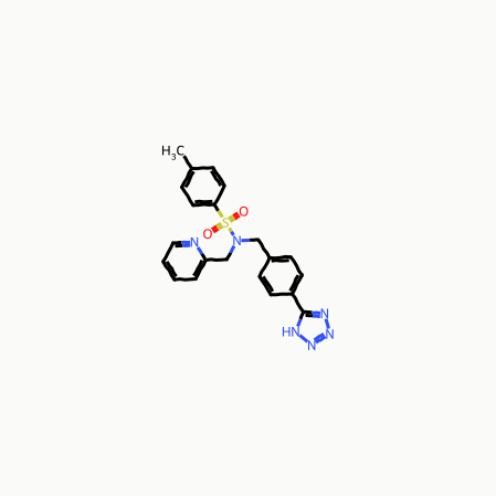 Cc1ccc(S(=O)(=O)N(Cc2ccc(-c3nnn[nH]3)cc2)Cc2ccccn2)cc1